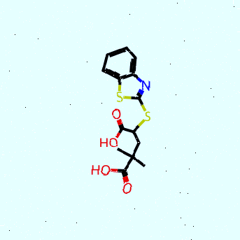 CC(C)(CC(Sc1nc2ccccc2s1)C(=O)O)C(=O)O